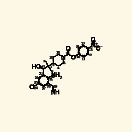 CC(C)(C1CCN(C(=O)Oc2ccc([N+](=O)[O-])cc2)CC1)C(O)c1cc(Cl)cc(C=N)c1N